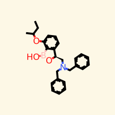 CCC(C)Oc1cccc2c1B(O)O[C@@H]2CN(Cc1ccccc1)Cc1ccccc1